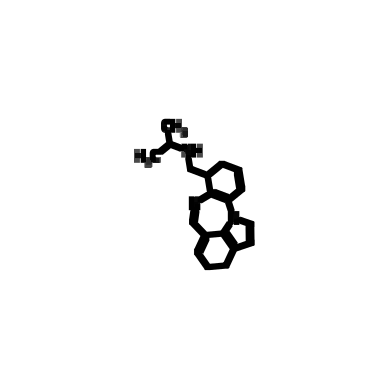 CC(C)NCC1CC=CC2=C1N=CC1=CCCc3ccn2c31